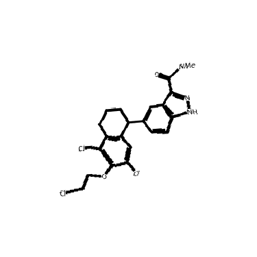 CNC(=O)c1n[nH]c2ccc(C3CCCc4c3cc(Cl)c(OCCCl)c4Cl)cc12